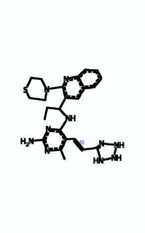 CCC(Nc1nc(N)nc(C)c1/C=C/C1=NNNN1)c1cc2ccccc2nc1N1CCSCC1